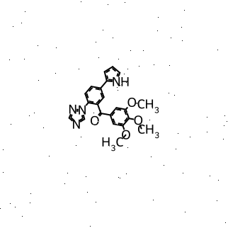 COc1cc(C(=O)c2cc(-c3ccc[nH]3)ccc2-n2cncn2)cc(OC)c1OC